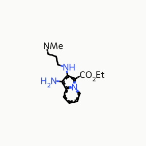 CCOC(=O)c1c(NCCCNC)c(N)c2ccccn12